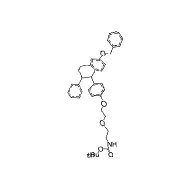 CC(C)(C)OC(=O)NCCOCCOc1ccc(C2c3ccc(OCc4ccccc4)cc3CCC2c2ccccc2)cc1